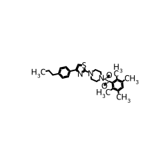 CCCc1ccc(-c2csc(N3CCN(S(=O)(=O)c4c(C)c(C)cc(C)c4C)CC3)n2)cc1